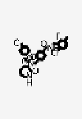 Cc1ccc(Cl)c(CNC(=O)c2ccc(CN([C@@H]3CCCCNC3=O)S(=O)(=O)c3ccc(Cl)cc3)cc2)c1F